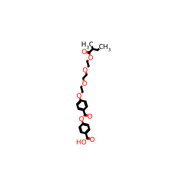 CCC(C)C(=O)OCCOCCOCCOc1ccc(C(=O)Oc2ccc(C(=O)O)cc2)cc1